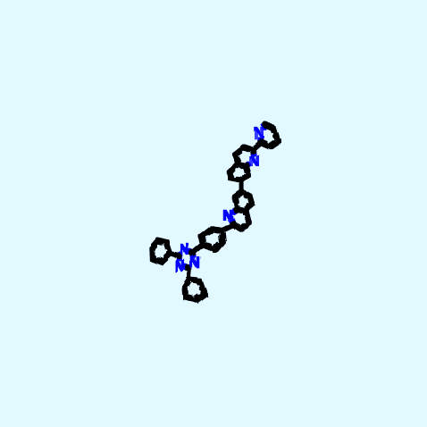 c1ccc(-c2nc(-c3ccccc3)nc(-c3ccc(-c4ccc5ccc(-c6ccc7ccc(-c8ccccn8)nc7c6)cc5n4)cc3)n2)cc1